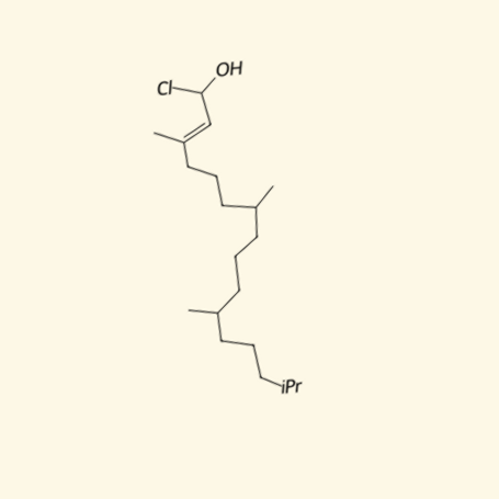 CC(=CC(O)Cl)CCCC(C)CCCC(C)CCCC(C)C